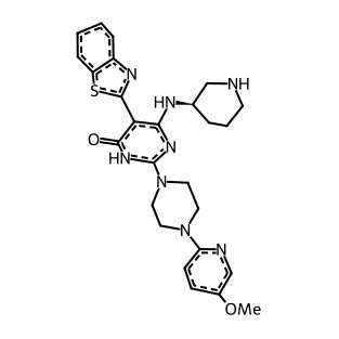 COc1ccc(N2CCN(c3nc(N[C@@H]4CCCNC4)c(-c4nc5ccccc5s4)c(=O)[nH]3)CC2)nc1